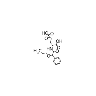 CCCOC(C(=O)N[C@@H](CCS(=O)(=O)O)C(=O)O)c1ccccc1